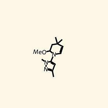 COC1CC(C)(C)C=CN1c1cc(C)nn1C